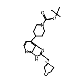 CC(C)(C)OC(=O)N1CCC(c2ccnc3[nH]c(C[C@H]4CCOC4)nc23)CC1